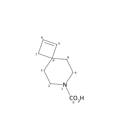 O=C(O)N1CCC2(C=CC2)CC1